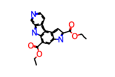 CCOC(=O)C1=Nc2cc(C(=O)OCC)c3c(c2=C1)=c1ccncc1=N3